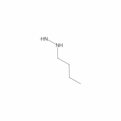 CCCCN[NH]